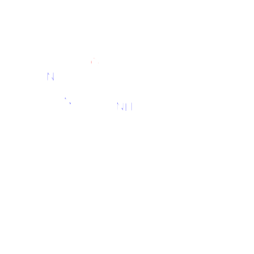 [c]1nnc(NCc2ccccc2)o1